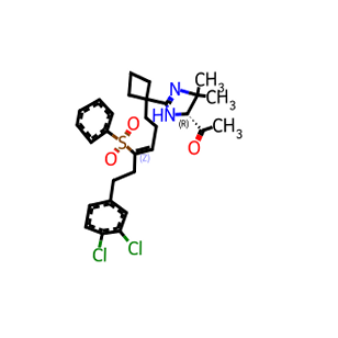 CC(=O)[C@@H]1NC(C2(CC/C=C(/CCc3ccc(Cl)c(Cl)c3)S(=O)(=O)c3ccccc3)CCC2)=NC1(C)C